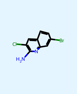 Nc1nc2cc(Br)ccc2cc1Cl